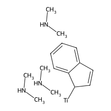 CNC.CNC.CNC.[Ti][CH]1C=Cc2ccccc21